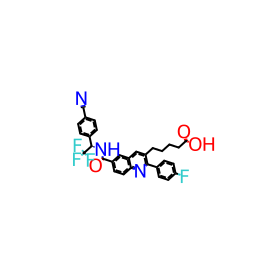 N#Cc1ccc([C@H](NC(=O)c2ccc3nc(-c4ccc(F)cc4)c(CCCCC(=O)O)cc3c2)C(F)(F)F)cc1